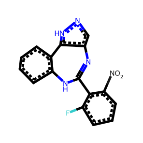 O=[N+]([O-])c1cccc(F)c1C1=Nc2cn[nH]c2-c2ccccc2N1